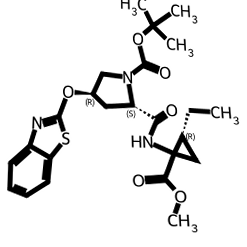 CC[C@@H]1CC1(NC(=O)[C@@H]1C[C@@H](Oc2nc3ccccc3s2)CN1C(=O)OC(C)(C)C)C(=O)OC